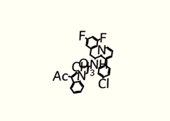 CC(=O)c1c(C)n(CC(=O)NC(Cc2cc(F)cc(F)c2)c2ncccc2-c2ccc(Cl)cc2)c2ccccc12